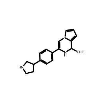 O=CC1NC(c2ccc(C3CCNC3)cc2)=Cn2cccc21